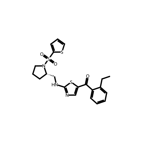 CCc1ccccc1C(=O)c1cnc(NC[C@@H]2CCCN2S(=O)(=O)c2cccs2)s1